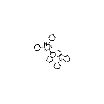 c1ccc(-c2nc(-c3ccccc3)nc(-n3c4cccc5c6ccccc6n6c7ccccc7c7ccc3c(c54)c76)n2)cc1